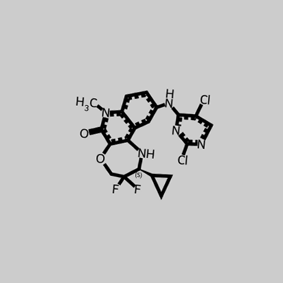 Cn1c(=O)c2c(c3cc(Nc4nc(Cl)ncc4Cl)ccc31)N[C@@H](C1CC1)C(F)(F)CO2